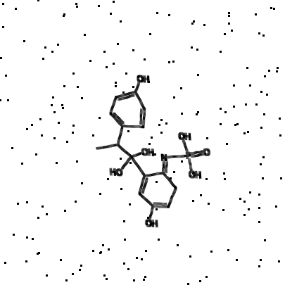 CC(c1ccc(O)cc1)C(O)(O)C1=CC(O)=CCC1=NP(=O)(O)O